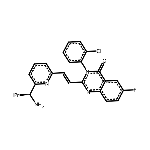 CC(C)[C@H](N)c1cccc(/C=C/c2nc3ccc(F)cc3c(=O)n2-c2ccccc2Cl)n1